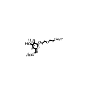 CCCOCCOCCOC1OC(COC(C)=O)CC(O)C1N